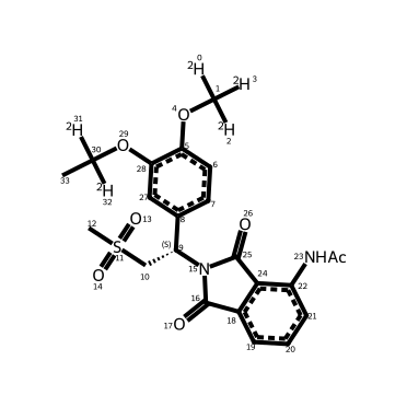 [2H]C([2H])([2H])Oc1ccc([C@@H](CS(C)(=O)=O)N2C(=O)c3cccc(NC(C)=O)c3C2=O)cc1OC([2H])([2H])C